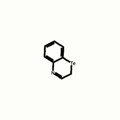 C1=Nc2ccccc2[Te]C1